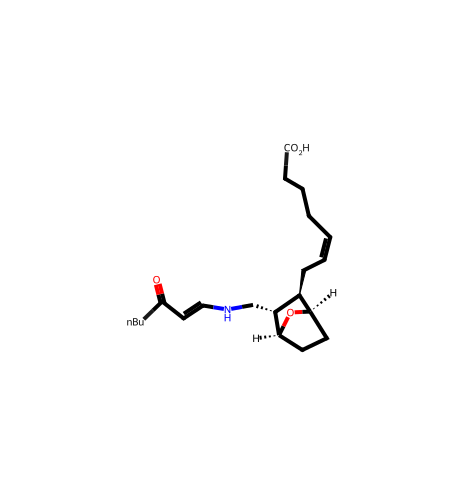 CCCCC(=O)C=CNC[C@@H]1[C@@H](C/C=C\CCCC(=O)O)[C@H]2CC[C@@H]1O2